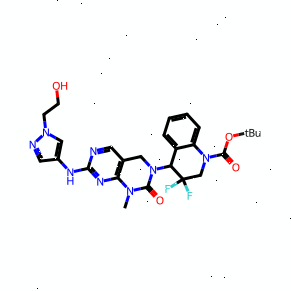 CN1C(=O)N(C2c3ccccc3N(C(=O)OC(C)(C)C)CC2(F)F)Cc2cnc(Nc3cnn(CCO)c3)nc21